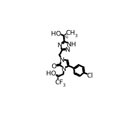 C[C@H](O)c1nc(Cn2cc(-c3ccc(Cl)cc3)n(C[C@H](O)C(F)(F)F)c2=O)n[nH]1